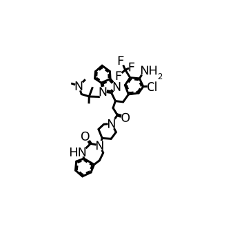 CN(C)CC(C)(C)Cn1c(C(CC(=O)N2CCC(N3CCc4ccccc4NC3=O)CC2)Cc2cc(Cl)c(N)c(C(F)(F)F)c2)nc2ccccc21